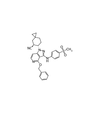 CS(=O)(=O)c1ccc(Nc2nn([C@H]3CCC4(CC4)C[C@@H]3C#N)c3ccnc(OCc4ccccc4)c23)cc1